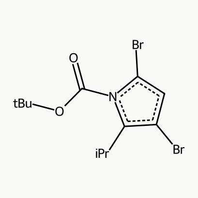 CC(C)c1c(Br)cc(Br)n1C(=O)OC(C)(C)C